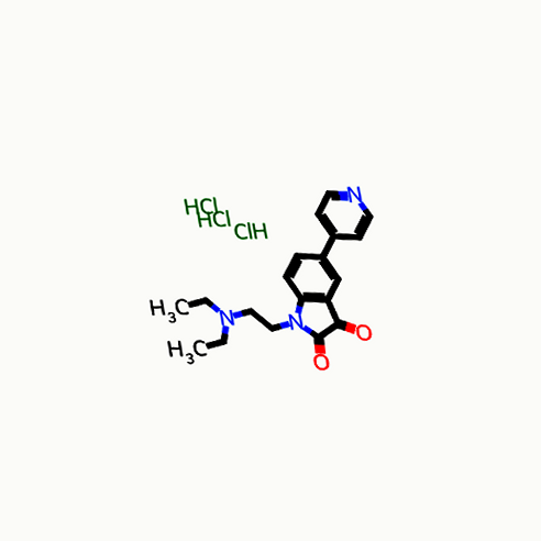 CCN(CC)CCN1C(=O)C(=O)c2cc(-c3ccncc3)ccc21.Cl.Cl.Cl